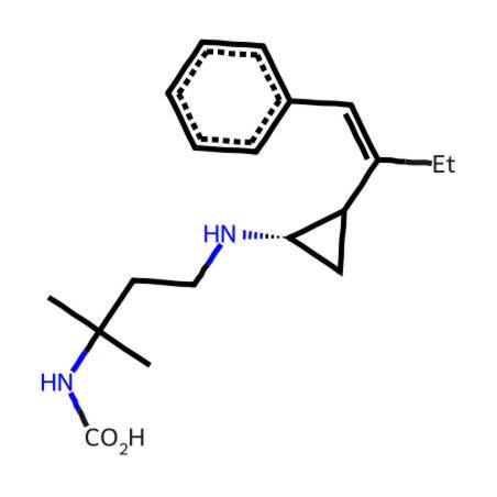 CCC(=Cc1ccccc1)C1C[C@@H]1NCCC(C)(C)NC(=O)O